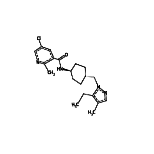 CCc1c(C)cnn1C[C@H]1CC[C@H](NC(=O)c2cc(Cl)cnc2C)CC1